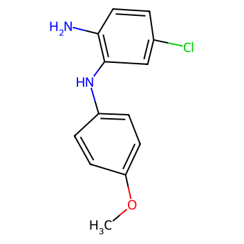 COc1ccc(Nc2cc(Cl)ccc2N)cc1